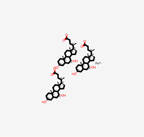 C[C@H](CCC(=O)[O-])[C@H]1CCC2C3C(CC[C@@]21C)[C@@]1(C)CC[C@@H](O)CC1C[C@H]3O.C[C@H](CCC(=O)[O-])[C@H]1CCC2C3C(CC[C@@]21C)[C@@]1(C)CC[C@@H](O)CC1C[C@H]3O.C[C@H](CCC(=O)[O-])[C@H]1CCC2C3C(CC[C@@]21C)[C@@]1(C)CC[C@@H](O)CC1C[C@H]3O.[Fe+3]